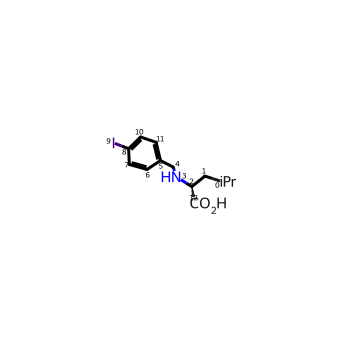 CC(C)C[C@H](NCc1ccc(I)cc1)C(=O)O